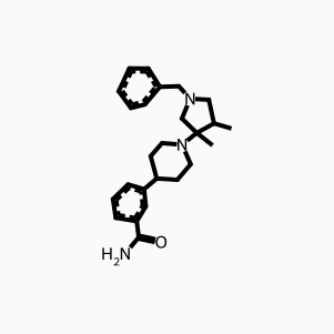 CC1CN(Cc2ccccc2)CC1(C)N1CCC(c2cccc(C(N)=O)c2)CC1